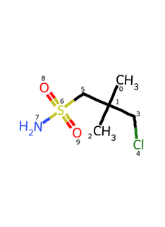 CC(C)(CCl)CS(N)(=O)=O